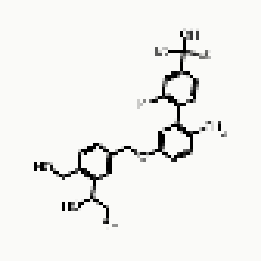 CCC(O)(CC)c1ccc(-c2cc(OCc3ccc(CO)c(C(O)CO)c3)ccc2C)c(C(C)C)c1